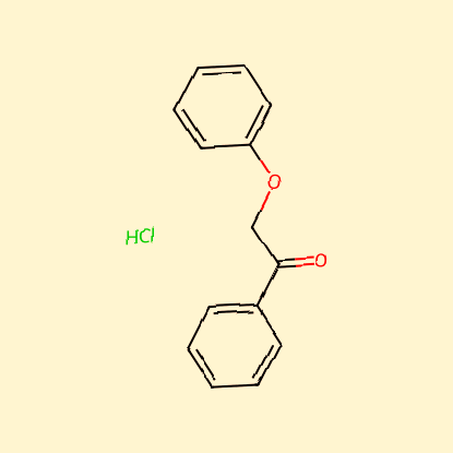 Cl.O=C(COc1ccccc1)c1ccccc1